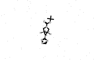 CC(C)(C)OC(=O)N1C[C@@H]2[C@H](C1)[C@H]2c1ncno1